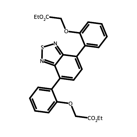 CCOC(=O)COc1ccccc1-c1ccc(-c2ccccc2OCC(=O)OCC)c2nsnc12